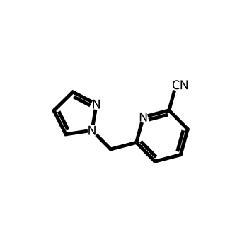 N#Cc1cccc(Cn2cccn2)n1